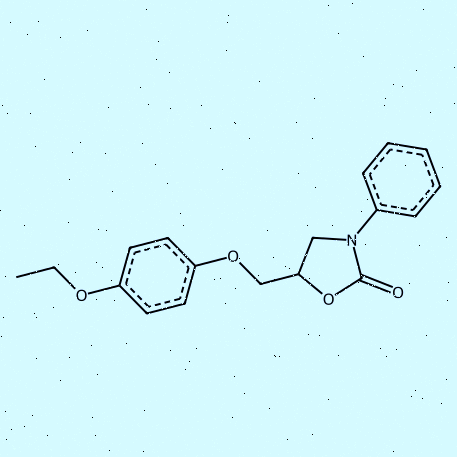 CCOc1ccc(OCC2CN(c3ccccc3)C(=O)O2)cc1